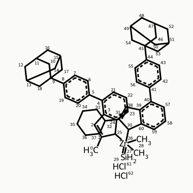 CC1=Cc2c(-c3ccc(C45CC6CC(CC(C6)C4)C5)cc3)cccc2[CH]1[Zr]([CH3])([CH3])(=[SiH2])[CH]1C(C2CCCCC2)=Cc2c(-c3ccc(C45CC6CC(CC(C6)C4)C5)cc3)cccc21.Cl.Cl